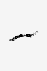 CCCCCc1ccc(N=Nc2ccc(N=Nc3ccc(N4CCN(CCCC)CC4)cc3)cc2)cc1